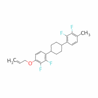 C=CCOc1ccc(C2CCC(c3ccc(C)c(F)c3F)CC2)c(F)c1F